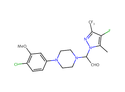 COc1cc(N2CCN(C(C=O)n3nc(C(F)(F)F)c(F)c3C)CC2)ccc1Cl